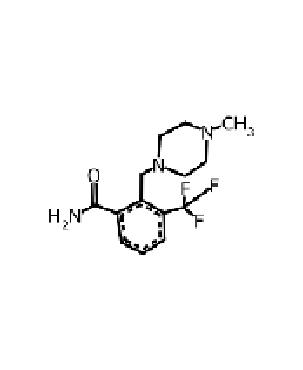 CN1CCN(Cc2c(C(N)=O)cccc2C(F)(F)F)CC1